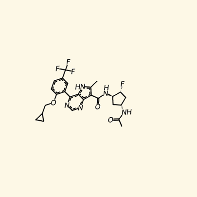 CC(=O)N[C@H]1C[C@@H](F)[C@H](NC(=O)c2c(C)[nH]c3c(-c4cc(C(F)(F)F)ccc4OCC4CC4)ncnc23)C1